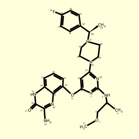 COCC(C)Nc1nc(Oc2cccc3[nH]c(=O)c(N)nc23)cc(N2CCN([C@H](C)c3ccc(F)cc3)CC2)n1